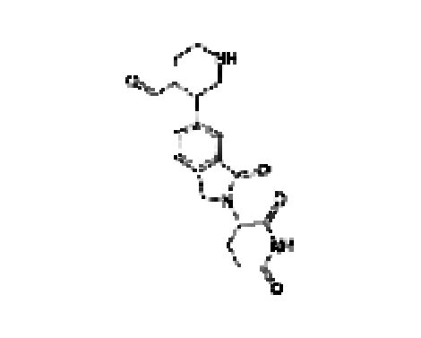 O=CC1CCNCC1c1ccc2c(c1)C(=O)N(C1CCC(=O)NC1=O)C2